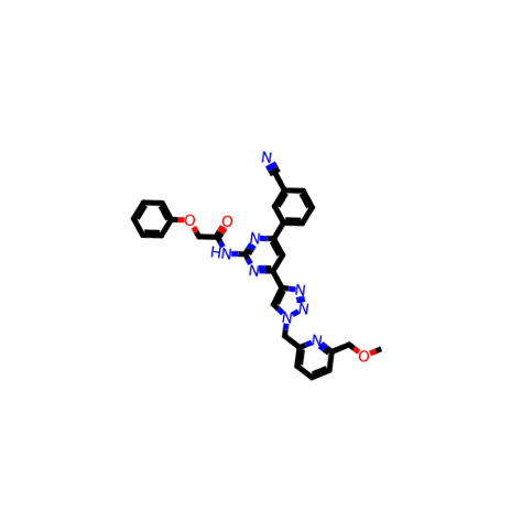 COCc1cccc(Cn2cc(-c3cc(-c4cccc(C#N)c4)nc(NC(=O)COc4ccccc4)n3)nn2)n1